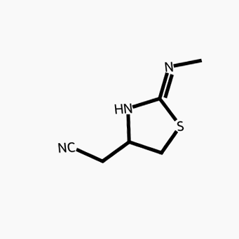 C/N=C1/NC(CC#N)CS1